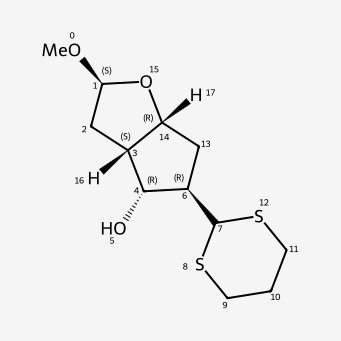 CO[C@@H]1C[C@H]2[C@@H](O)[C@H](C3SCCCS3)C[C@H]2O1